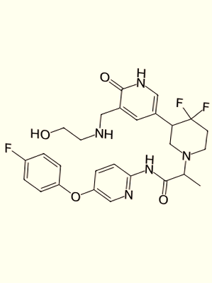 CC(C(=O)Nc1ccc(Oc2ccc(F)cc2)cn1)N1CCC(F)(F)C(c2c[nH]c(=O)c(CNCCO)c2)C1